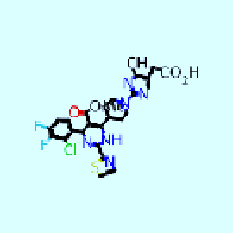 COC(=O)C1=C(C2CCN(c3ncc(CC(=O)O)c(C)n3)CC2)NC(c2nccs2)=NC1c1ccc(F)c(F)c1Cl